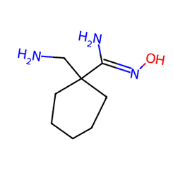 NCC1(C(N)=NO)CCCCC1